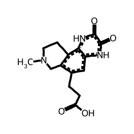 CN1CCc2c(c(CCC(=O)O)cc3[nH]c(=O)c(=O)[nH]c23)C1